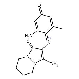 CC1=CC(=O)C=C(N)/C1=N\c1c(N)n2n(c1=O)CCCC2